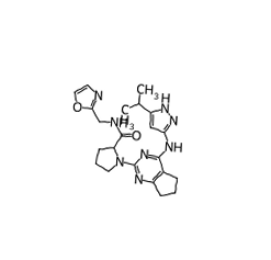 CC(C)c1cc(Nc2nc(N3CCCC3C(=O)NCc3ncco3)nc3c2CCC3)n[nH]1